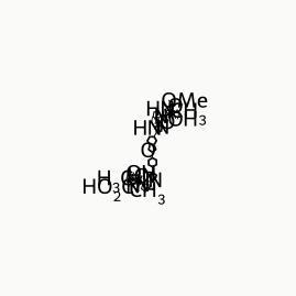 COC(=O)N[C@H](C(=O)N1CCC[C@H]1c1ncc(-c2ccc3oc(-c4ccc(-c5cnc([C@@H]6CCCN6C(=O)[C@H]([C@@H](C)O)N(C)C(=O)O)[nH]5)cc4)cc3c2)[nH]1)[C@@H](C)O